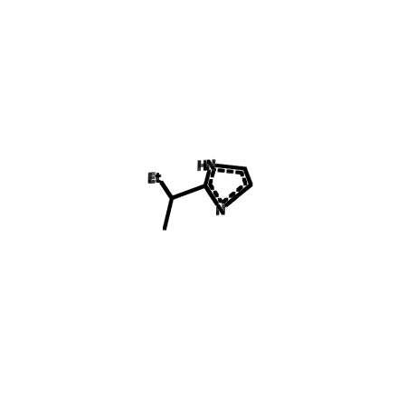 CCC(C)c1ncc[nH]1